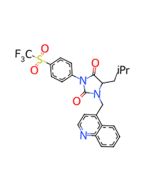 CC(C)CC1C(=O)N(c2ccc(S(=O)(=O)C(F)(F)F)cc2)C(=O)N1Cc1ccnc2ccccc12